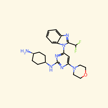 N[C@H]1CC[C@@H](Nc2nc(N3CCOCC3)cc(-n3c(C(F)F)nc4ccccc43)n2)CC1